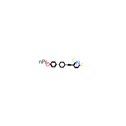 CCCOc1ccc([C@H]2CC[C@H](C#Cc3ccc(F)nc3F)CC2)cc1